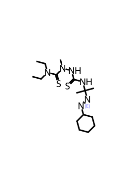 CCN(CC)C(=S)N(C)NC(=S)NC(C)(C)/N=N/C1CCCCC1